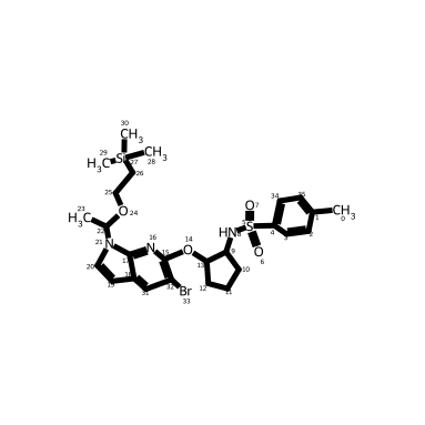 Cc1ccc(S(=O)(=O)NC2CCCC2Oc2nc3c(ccn3C(C)OCC[Si](C)(C)C)cc2Br)cc1